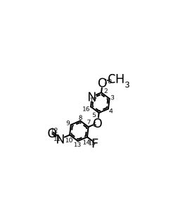 COc1ccc(Oc2ccc(N=O)cc2F)cn1